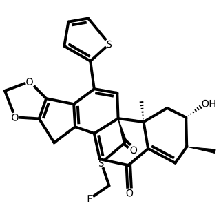 C[C@H]1C=C2C(=O)C=C3C4=C(C(c5cccs5)=C[C@]3(C(=O)SCF)[C@@]2(C)C[C@@H]1O)C1=C(C4)OCO1